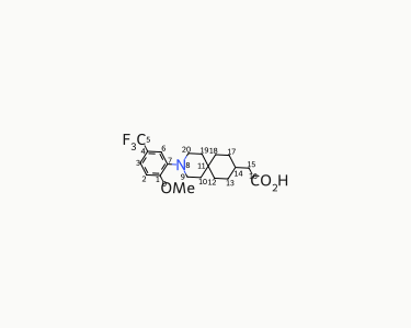 COc1ccc(C(F)(F)F)cc1N1CCC2(CCC(CC(=O)O)CC2)CC1